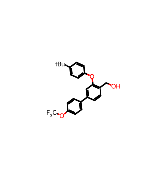 CC(C)(C)c1ccc(Oc2cc(-c3ccc(OC(F)(F)F)cc3)ccc2CO)cc1